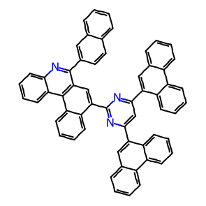 c1ccc2cc(-c3nc4ccccc4c4c3cc(-c3nc(-c5cc6ccccc6c6ccccc56)cc(-c5cc6ccccc6c6ccccc56)n3)c3ccccc34)ccc2c1